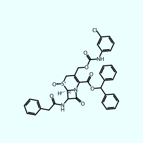 O=C(Cc1ccccc1)NC1C(=O)N2C(C(=O)OC(c3ccccc3)c3ccccc3)=C(COC(=O)Nc3cccc(Cl)c3)C[S+]([O-])[C@H]12